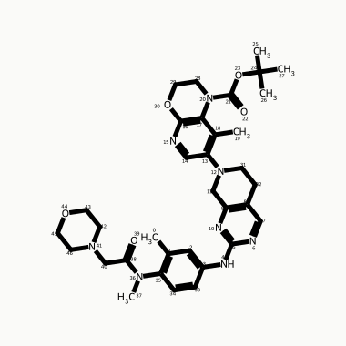 Cc1cc(Nc2ncc3c(n2)CN(c2cnc4c(c2C)N(C(=O)OC(C)(C)C)CCO4)CC3)ccc1N(C)C(=O)CN1CCOCC1